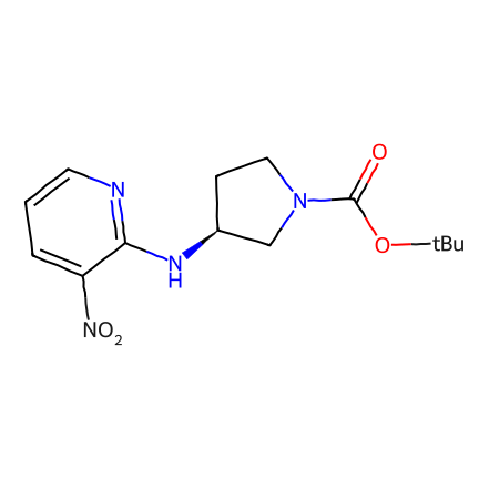 CC(C)(C)OC(=O)N1CC[C@H](Nc2ncccc2[N+](=O)[O-])C1